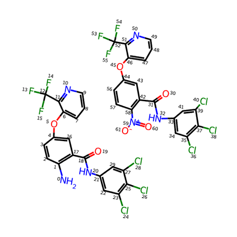 Nc1ccc(Oc2cccnc2C(F)(F)F)cc1C(=O)Nc1cc(Cl)c(Cl)c(Cl)c1.O=C(Nc1cc(Cl)c(Cl)c(Cl)c1)c1cc(Oc2cccnc2C(F)(F)F)ccc1[N+](=O)[O-]